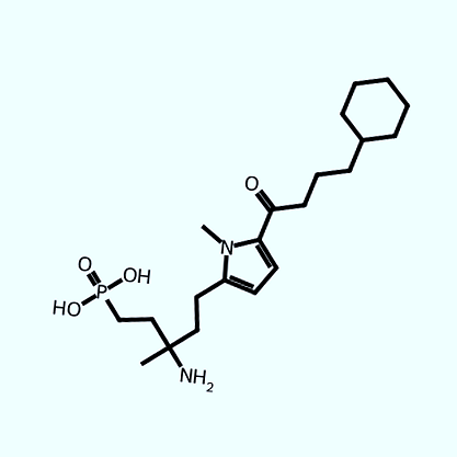 Cn1c(CCC(C)(N)CCP(=O)(O)O)ccc1C(=O)CCCC1CCCCC1